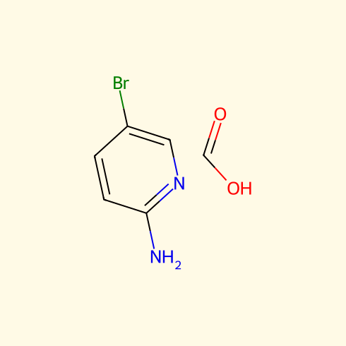 Nc1ccc(Br)cn1.O=CO